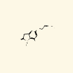 CCCOc1cc(F)c2c(c1)CC(=O)N2C